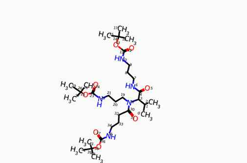 CC(C)C(C(=O)NCCCNC(=O)OC(C)(C)C)N(CCCNC(=O)OC(C)(C)C)C(=O)CCCNC(=O)OC(C)(C)C